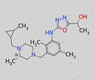 Cc1cc(CN2CCN(CC3CC3C)[C@@H](C)C2)c(C)c(Nc2nnc(C(C)O)o2)c1